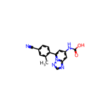 Cc1cc(C#N)ccc1-c1cc(NC(=O)O)cc2ncnn12